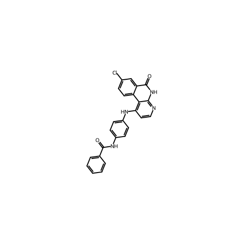 O=C(Nc1ccc(Nc2ccnc3[nH]c(=O)c4cc(Cl)ccc4c23)cc1)c1ccccc1